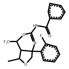 CC1OCC2(c3ccccc3F)N=C(NC(=O)c3ccccc3)OC(C(F)(F)F)C12